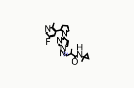 Cc1ncc(F)cc1C1CCCN1C1=NCN(/N=C\C(C)C(=O)NC2(C)CC2)C=C1